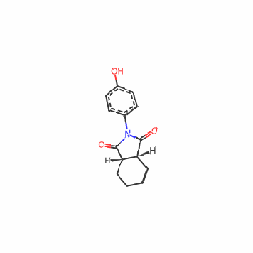 O=C1[C@H]2CCCC[C@H]2C(=O)N1c1ccc(O)cc1